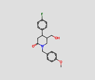 COc1ccc(CN2CC(CO)C(c3ccc(F)cc3)CC2=O)cc1